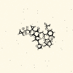 Cc1c(-c2ncco2)sc2c1c(=O)n(C1(C(=O)NS(=O)(=O)C3(C)CC3)CC1)c(=O)n2CC(OC1C[C@H]2CC[C@@H](C1)O2)c1cc(F)ccc1OC(F)F